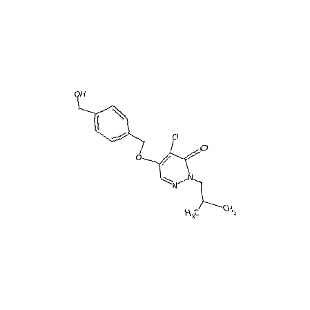 CC(C)Cn1ncc(OCc2ccc(CO)cc2)c(Cl)c1=O